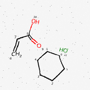 C1CCCCC1.C=CC(=O)O.Cl